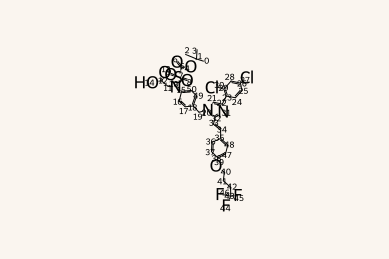 CC(C)(C)OC(=O)S(=O)(=O)N(CC(=O)O)c1ccc(Cn2cc(-c3ccc(Cl)cc3Cl)nc2/C=C/c2ccc(OCCCC(F)(F)F)cc2)cc1